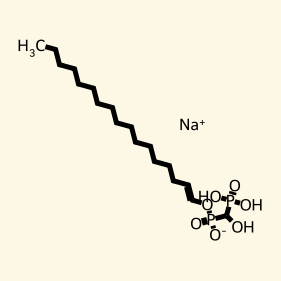 CCCCCCCCCCCCCCCC=COP(=O)([O-])C(O)P(=O)(O)O.[Na+]